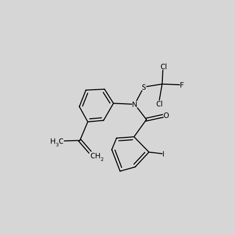 C=C(C)c1cccc(N(SC(F)(Cl)Cl)C(=O)c2ccccc2I)c1